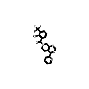 O=C(c1cccc(C(F)(F)F)c1Cl)N1CCc2c(ncnc2-c2ccccn2)C1